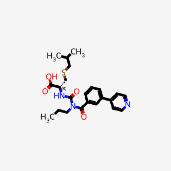 CCCN(C(=O)N[C@@H](CSCC(C)C)C(=O)O)C(=O)c1cccc(-c2ccncc2)c1